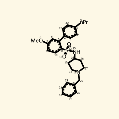 CCCc1ccc(-c2cc(OC)ccc2S(=O)(=O)NC2CCN(Cc3ccccc3)CC2)cc1